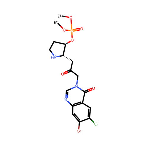 CCOP(=O)(OCC)O[C@@H]1CCN[C@H]1CC(=O)Cn1cnc2cc(Br)c(Cl)cc2c1=O